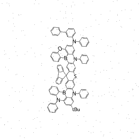 CC(C)(C)c1cc2c3c(c1)N(c1ccccc1)c1cc4c(cc1B3c1ccccc1N2c1ccccc1)C1(c2cc3c(cc2S4)N(c2ccccc2)c2cc(N(c4ccccc4)c4cccc(-c5ccccc5)c4)cc4c2B3c2ccccc2O4)c2ccccc2-c2ccccc21